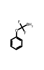 BC(F)(F)Oc1ccccc1